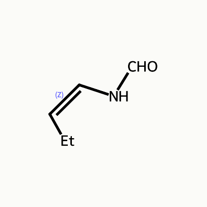 CC/C=C\NC=O